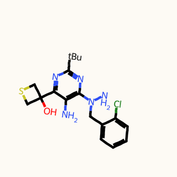 CC(C)(C)c1nc(N(N)Cc2ccccc2Cl)c(N)c(C2(O)CSC2)n1